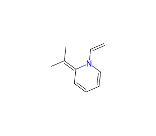 C=CN1C=CC=CC1=C(C)C